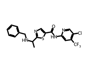 CC(NCc1ccccc1)c1ncc(C(=O)Nc2cc(C(F)(F)F)c(Cl)cn2)s1